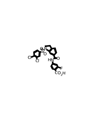 O=C(Nc1ccc(C(=O)O)c(F)c1)c1ccc2c(c1)N(S(=O)(=O)c1ccc(Cl)c(Cl)c1)CC2